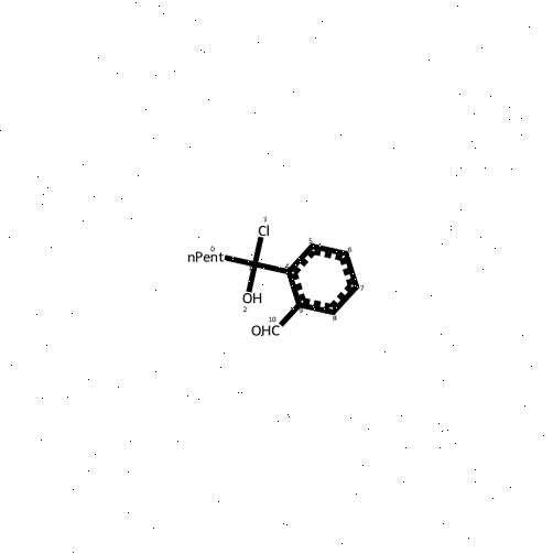 CCCCCC(O)(Cl)c1ccccc1C=O